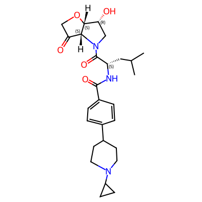 CC(C)C[C@H](NC(=O)c1ccc(C2CCN(C3CC3)CC2)cc1)C(=O)N1C[C@@H](O)[C@H]2OCC(=O)[C@H]21